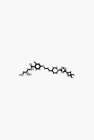 Cc1cc(OCCCC2CCN(c3noc(C4CC(C)(C)C4)n3)CC2)ccc1C(=O)NC[C@H](O)CO